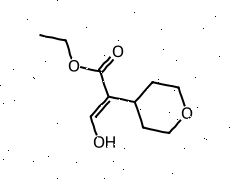 CCOC(=O)/C(=C/O)C1CCOCC1